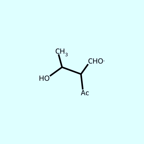 CC(=O)C([C]=O)C(C)O